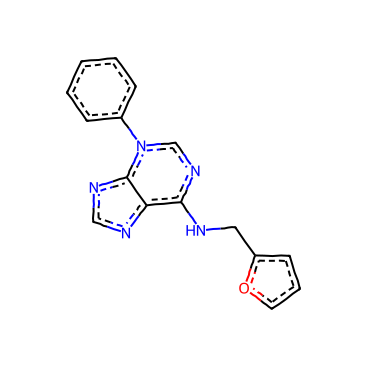 c1ccc(-n2cnc(NCc3ccco3)c3ncnc2-3)cc1